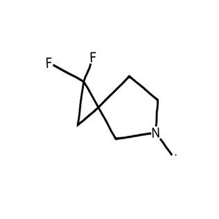 [CH2]N1CCC2(C1)CC2(F)F